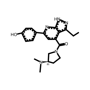 CCc1n[nH]c2nc(-c3ccc(O)cc3)cc(C(=O)N3CC[C@@H](N(C)C)C3)c12